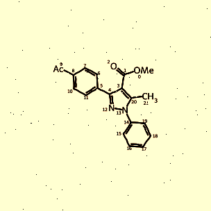 COC(=O)c1c(-c2ccc(C(C)=O)cc2)nn(-c2ccccc2)c1C